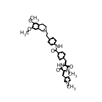 COc1cc2c(cc1OC)CN(CCc1ccc(NC(=O)c3ccc(C=c4[nH]c(=O)c(=Cc5ccn(C)c5)n(C)c4=O)cc3)cc1)CC2